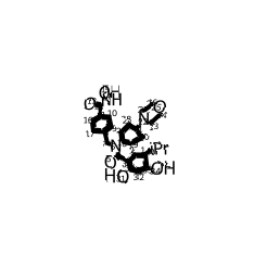 CC(C)c1cc(C(=O)N(Cc2ccc(C(=O)NO)cc2)c2ccc(N3CCOCC3)cc2)c(O)cc1O